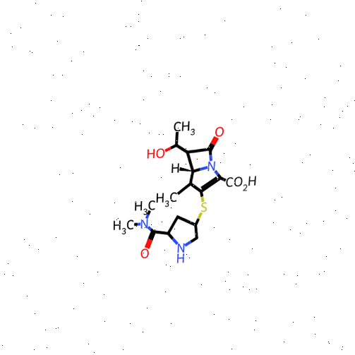 CC(O)C1C(=O)N2C(C(=O)O)=C(SC3CNC(C(=O)N(C)C)C3)C(C)[C@H]12